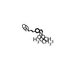 CC(C)(C)OC(=O)n1ccc2ccc(C=CCN3CCOCC3)cc21